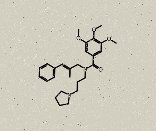 COc1cc(C(=O)N(CCCN2CCCC2)CC(C)=Cc2ccccc2)cc(OC)c1OC